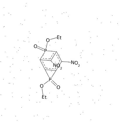 CCOP1(=O)c2c([N+](=O)[O-])c1c1c(c2[N+](=O)[O-])P1(=O)OCC